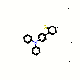 S=C1CC=CC=C1c1ccc(N(c2ccccc2)c2ccccc2)cc1